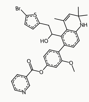 COc1cc(OC(=O)c2cccnc2)ccc1-c1ccc2c(c1C(O)Cc1ccc(Br)s1)C(C)=CC(C)(C)N2